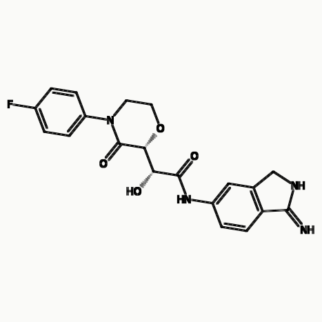 N=C1NCc2cc(NC(=O)[C@H](O)[C@H]3OCCN(c4ccc(F)cc4)C3=O)ccc21